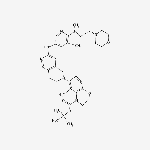 Cc1cc(Nc2ncc3c(n2)CN(c2cnc4c(c2C)N(C(=O)OC(C)(C)C)CCO4)CC3)cnc1N(C)CCN1CCOCC1